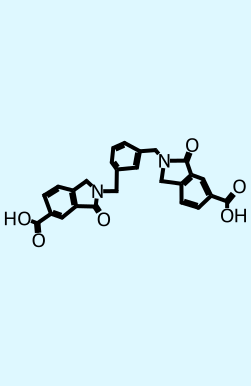 O=C(O)c1ccc2c(c1)C(=O)N(Cc1cccc(CN3Cc4ccc(C(=O)O)cc4C3=O)c1)C2